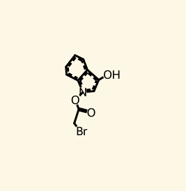 O=C(CBr)On1cc(O)c2ccccc21